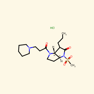 CCCC1C(=O)N(S(C)(=O)=O)[C@H]2CCN(C(=O)CCN3CCCCC3)[C@H]12.Cl